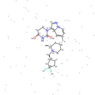 C[C@H]1C[C@H](Cc2ccn3ncc(N4CCC(=O)NC4=O)c3c2)CCN1C[C@H]1CCC(F)(F)C1